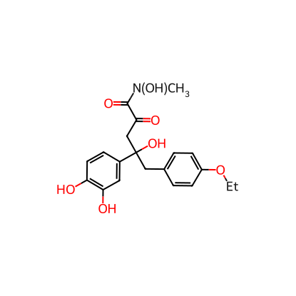 CCOc1ccc(CC(O)(CC(=O)C(=O)N(C)O)c2ccc(O)c(O)c2)cc1